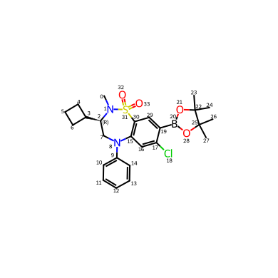 CN1[C@H](C2CCC2)CN(c2ccccc2)c2cc(Cl)c(B3OC(C)(C)C(C)(C)O3)cc2S1(=O)=O